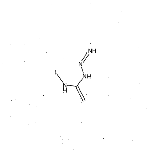 C=C(NI)NN=N